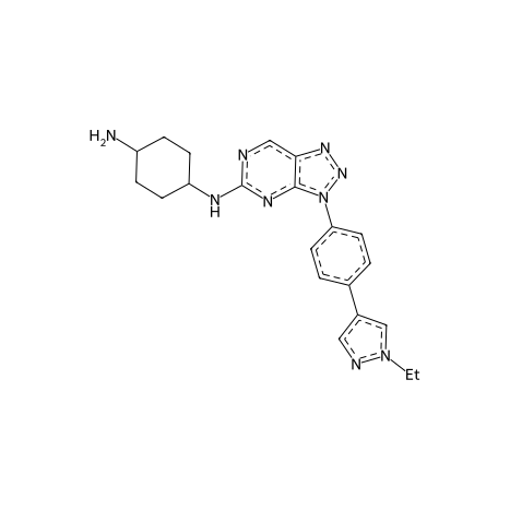 CCn1cc(-c2ccc(-n3nnc4cnc(NC5CCC(N)CC5)nc43)cc2)cn1